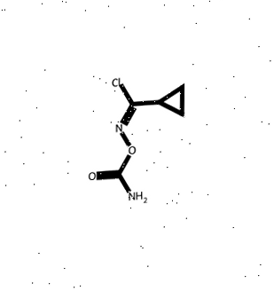 NC(=O)O/N=C(/Cl)C1CC1